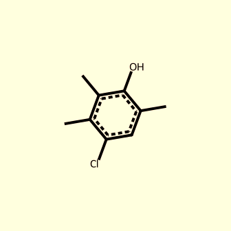 Cc1cc(Cl)c(C)c(C)c1O